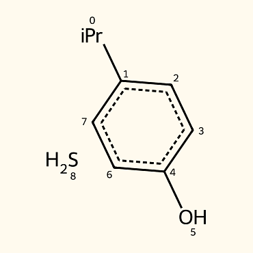 CC(C)c1ccc(O)cc1.S